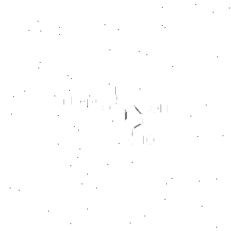 CCCCCCCOC(CC)c1cc(O)cc(C=O)c1